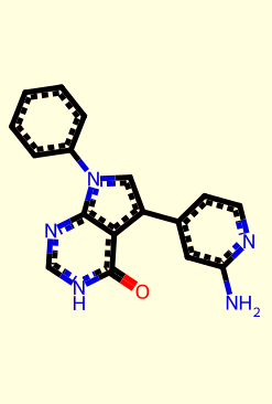 Nc1cc(-c2cn(-c3ccccc3)c3nc[nH]c(=O)c23)ccn1